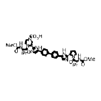 COC(=O)N[C@H](C(=O)N1CCC[C@H]1c1ncc(-c2ccc(-c3ccc(-c4cnc([C@@H]5CN(C(=O)O)CCN5C(=O)[C@@H](NC(=O)OC)C(C)C)[nH]4)cc3)cc2)[nH]1)C(C)C